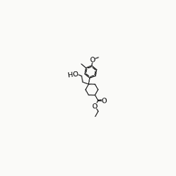 CCOC(=O)C1CCC(CCO)(c2ccc(OC)c(C)c2)CC1